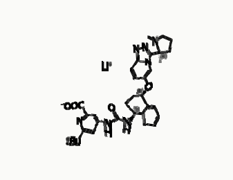 CN1CCC[C@@]1(C)c1nnc2ccc(O[C@@H]3CC[C@H](NC(=O)Nc4cc(C(=O)[O-])nc(C(C)(C)C)c4)c4ccccc43)cn12.[Li+]